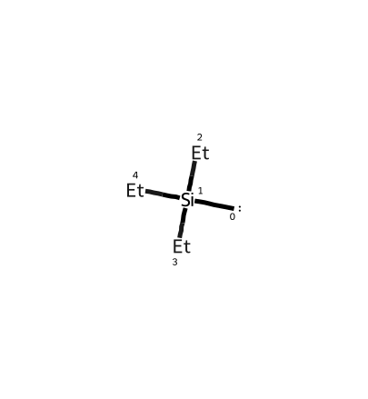 [CH][Si](CC)(CC)CC